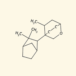 CC1CC2CCC1(C1C3CCC(C3)C1(C)C)CO2